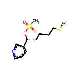 CC(=O)SCCCC[C@@H](OS(C)(=O)=O)c1cccnc1